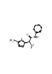 COC(C(=O)Nc1ccccc1)c1ccc(N)s1